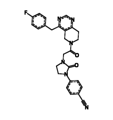 N#Cc1ccc(N2CCN(CC(=O)N3CCc4ncnc(Cc5ccc(F)cc5)c4C3)C2=O)cc1